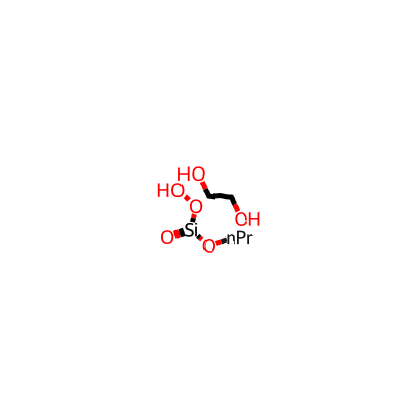 CCCO[Si](=O)OO.OCCO